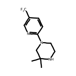 CC1(C)CN(c2ccc(C(F)(F)F)cn2)CCN1